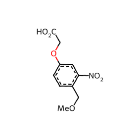 COCc1ccc(OCC(=O)O)cc1[N+](=O)[O-]